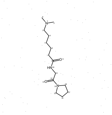 CN(C)CCCCCC(=O)NCC(=O)N1CCCC1